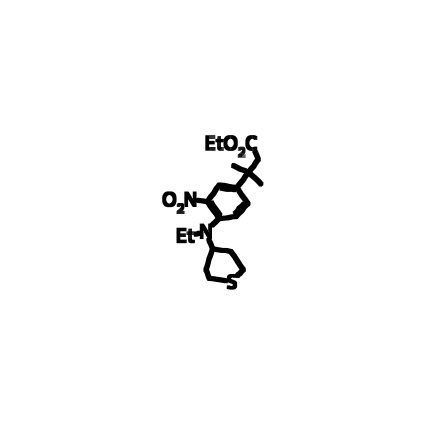 CCOC(=O)CC(C)(C)c1ccc(N(CC)C2CCSCC2)c([N+](=O)[O-])c1